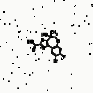 CC1(O)COc2cc(F)c(Br)cc2-c2nc(C(=O)O)sc21